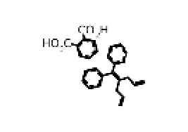 C=CCC(CC=C)=C(c1ccccc1)c1ccccc1.O=C(O)c1ccccc1C(=O)O